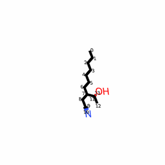 CCCCCCCC(CC#N)C(C)O